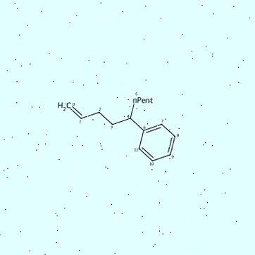 C=CCCC(CCCCC)c1ccccc1